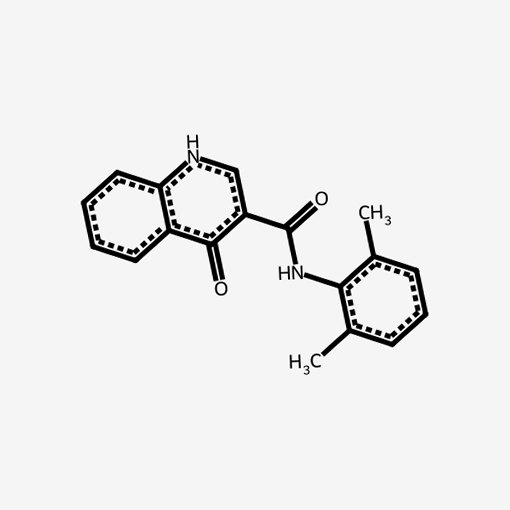 Cc1cccc(C)c1NC(=O)c1c[nH]c2ccccc2c1=O